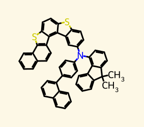 CC1(C)c2ccccc2-c2c(N(c3ccc(-c4cccc5ccccc45)cc3)c3ccc4sc5ccc6sc7c8ccccc8ccc7c6c5c4c3)cccc21